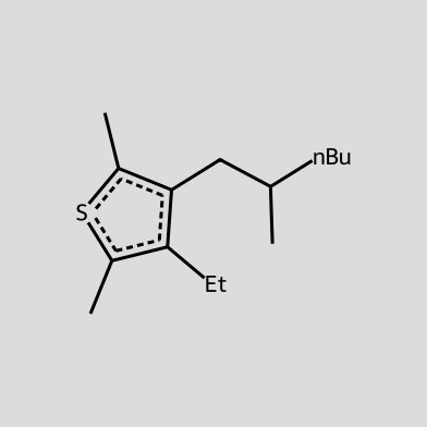 CCCCC(C)Cc1c(C)sc(C)c1CC